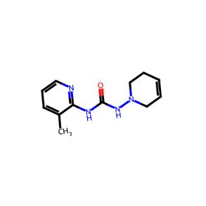 Cc1cccnc1NC(=O)NN1CC=CCC1